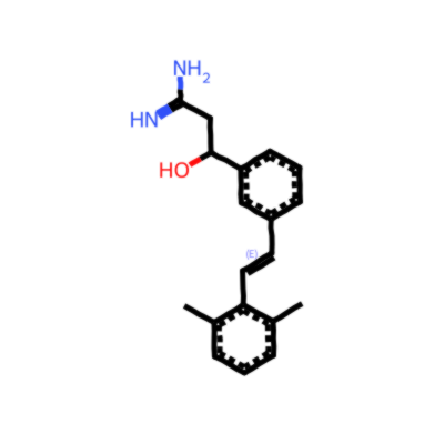 Cc1cccc(C)c1/C=C/c1cccc(C(O)CC(=N)N)c1